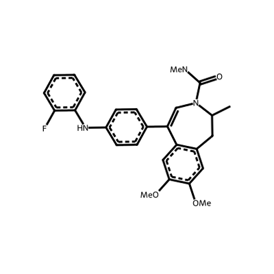 CNC(=O)N1C=C(c2ccc(Nc3ccccc3F)cc2)c2cc(OC)c(OC)cc2CC1C